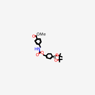 COC(=O)c1ccc(CNC(=O)OCC2=CC=C(B3OC(C)(C)C(C)(C)O3)CC2)cc1